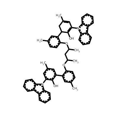 CC1=CC(n2c3ccccc3c3ccccc32)=C(O)C(c2cc(C)ccc2OC(C)CC(C)Oc2ccc(C)cc2-c2cc(C)cc(-n3c4ccccc4c4ccccc43)c2O)C1